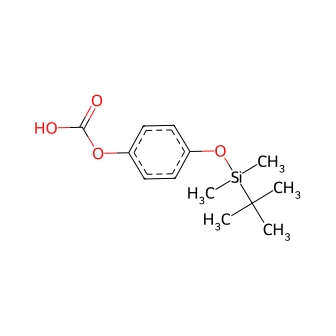 CC(C)(C)[Si](C)(C)Oc1ccc(OC(=O)O)cc1